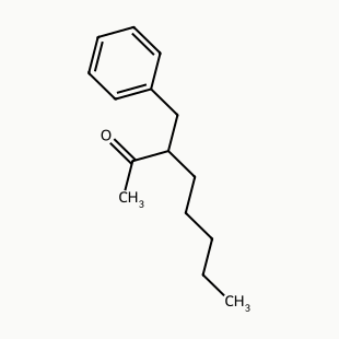 CCCCCC(Cc1ccccc1)C(C)=O